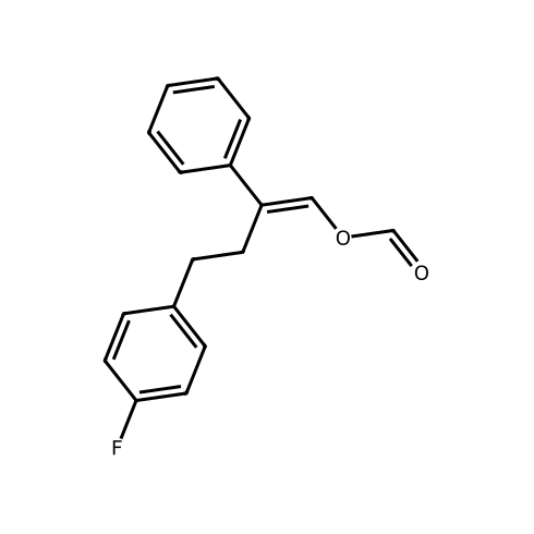 O=CO/C=C(\CCc1ccc(F)cc1)c1ccccc1